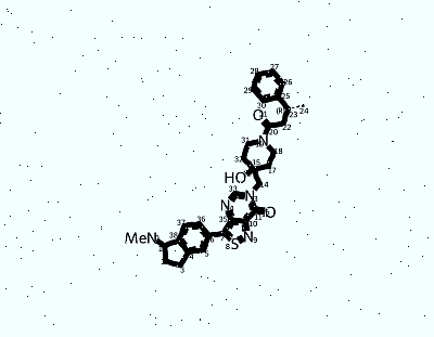 CNC1CCc2cc(-c3snc4c(=O)n(CC5(O)CCN(C(=O)C[C@@H](C)c6ccccc6)CC5)cnc34)ccc21